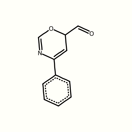 O=CC1C=C(c2ccccc2)N=CO1